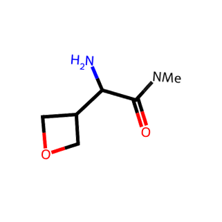 CNC(=O)C(N)C1COC1